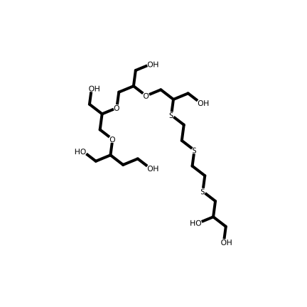 OCCC(CO)OCC(CO)OCC(CO)OCC(CO)SCCSCCSCC(O)CO